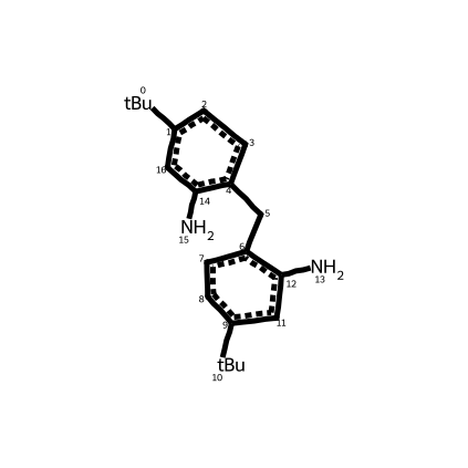 CC(C)(C)c1ccc(Cc2ccc(C(C)(C)C)cc2N)c(N)c1